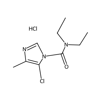 CCN(CC)C(=O)n1cnc(C)c1Cl.Cl